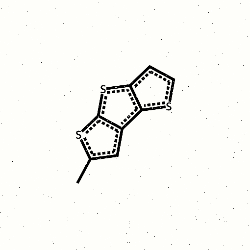 Cc1cc2c(s1)sc1ccsc12